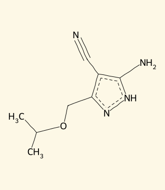 CC(C)OCc1n[nH]c(N)c1C#N